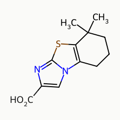 CC1(C)CCCc2c1sc1nc(C(=O)O)cn21